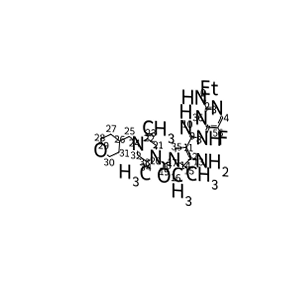 CCNc1ncc(F)c(NC(=N)C2=C(N)C(C)(C)N(C(=O)N3C[C@@H](C)N(CC4CCOCC4)C[C@@H]3C)C2)n1